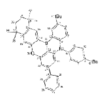 CC(C)(C)c1ccc(N2c3ccc(C(C)(C)C)cc3B3c4cc5c(cc4Oc4cc(-c6ccccc6)cc2c43)C(C)(C)CCC5(C)C)cc1